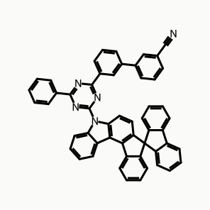 N#Cc1cccc(-c2cccc(-c3nc(-c4ccccc4)nc(-n4c5ccccc5c5c6c(ccc54)C4(c5ccccc5-c5ccccc54)c4ccccc4-6)n3)c2)c1